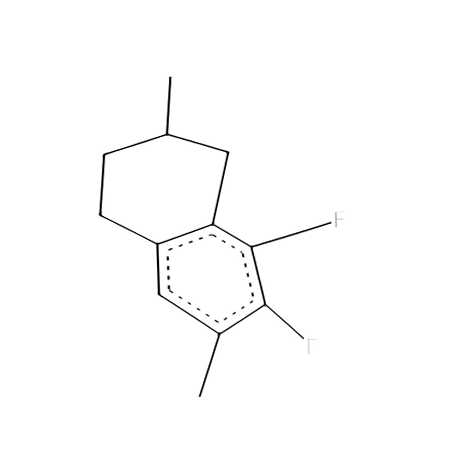 Cc1cc2c(c(F)c1F)CC(C)CC2